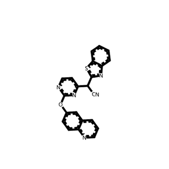 N#CC(c1ccnc(Oc2ccc3ncccc3c2)n1)c1nc2ccccc2s1